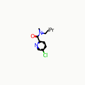 CC(C)CN(C)C(=O)c1ccc(Cl)cn1